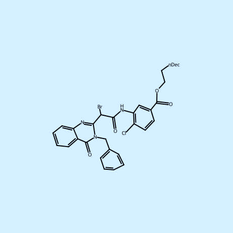 CCCCCCCCCCCCOC(=O)c1ccc(Cl)c(NC(=O)C(Br)c2nc3ccccc3c(=O)n2Cc2ccccc2)c1